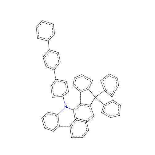 c1ccc(-c2ccc(-c3ccc(N(c4ccccc4-c4ccccc4)c4cccc5c4-c4ccccc4C5(c4ccccc4)c4ccccc4)cc3)cc2)cc1